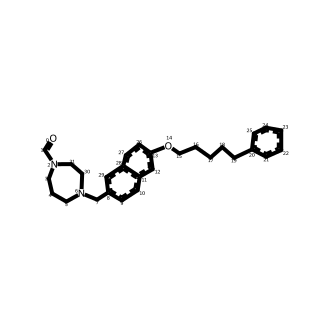 O=CN1CCCN(Cc2ccc3cc(OCCCCCc4ccccc4)ccc3c2)CC1